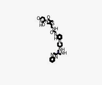 N=C/C(=C\NC1CCN(c2cccc(NCC(=O)NCc3scc4c3CN(C3CCC(=O)NC3=O)C4=O)c2)CC1)c1cnc2ccccc2n1